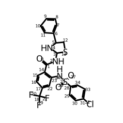 O=C(NC1NC(c2ccccc2)CS1)c1ccc(C(F)(F)F)cc1NS(=O)(=O)c1ccc(Cl)cc1